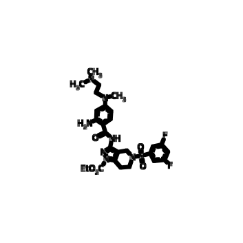 CCOC(=O)n1nc(NC(=O)c2ccc(N(C)CCN(C)C)cc2N)c2c1CCN(S(=O)(=O)c1cc(F)cc(F)c1)C2